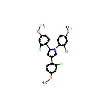 COc1ccc(-c2cc(-c3ccc(OC)cc3Cl)n(-c3ccc(OC)cc3Cl)c2)c(Cl)c1